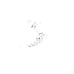 CC(C)C(=O)OCc1ccc(NC(=O)[C@@H](C)NC(=O)C(NC(=O)CCCCCN2C(=O)CC(C(C)C)C2=O)C(C)C)cc1